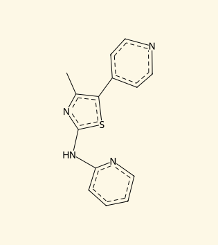 Cc1nc(Nc2ccccn2)sc1-c1ccncc1